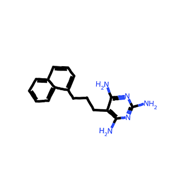 Nc1nc(N)c(CCCc2cccc3ccccc23)c(N)n1